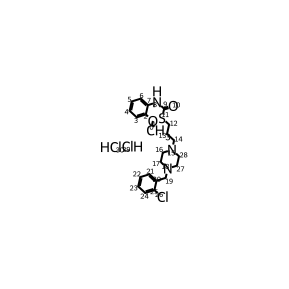 COc1ccccc1NC(=O)SCCCN1CCN(Cc2ccccc2Cl)CC1.Cl.Cl